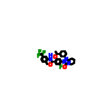 Cc1ccc(C(F)(F)F)cc1NC(=O)c1cc(F)c(-n2nc3n(c2=O)CCCC3)cc1OC(C)C1CCCCC1